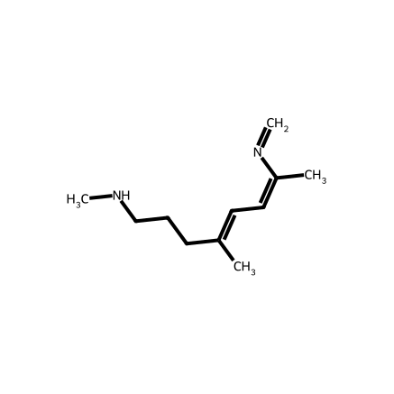 C=N/C(C)=C\C=C(/C)CCCNC